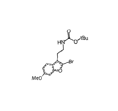 COc1ccc2c(CCNC(=O)OC(C)(C)C)c(Br)oc2c1